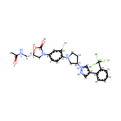 CC(=O)NC[C@H]1CN(c2ccc(N3CC[C@@H](n4cc(-c5ccccc5C(F)(F)F)cn4)C3)c(F)c2)C(=O)O1